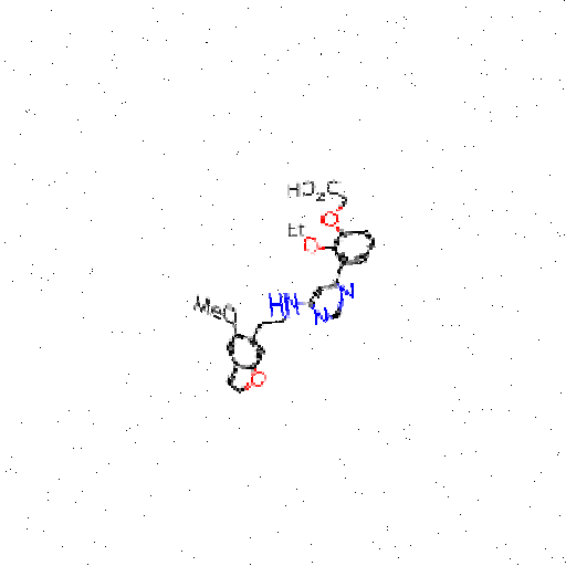 CCOc1c(OCC(=O)O)cccc1-c1cc(NCCc2cc3occc3cc2OC)ncn1